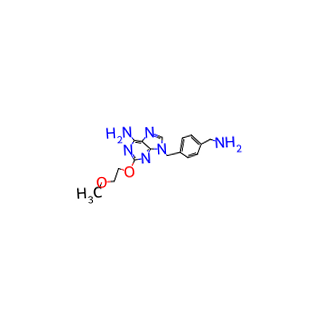 COCCOc1nc(N)c2ncn(Cc3ccc(CN)cc3)c2n1